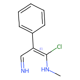 CN/C(Cl)=C(\C=N)c1ccccc1